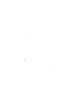 O=C([C@@H]1CCCN1CC1(O)CCCCC1)N1CCc2ccccc2C1C1CCCCC1